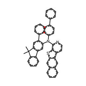 CC1(C)c2ccccc2-c2cc(N(c3ccc(-c4ccccc4)cc3)c3nccc4c3sc3cc5ccccc5cc34)c(-c3ccccc3)cc21